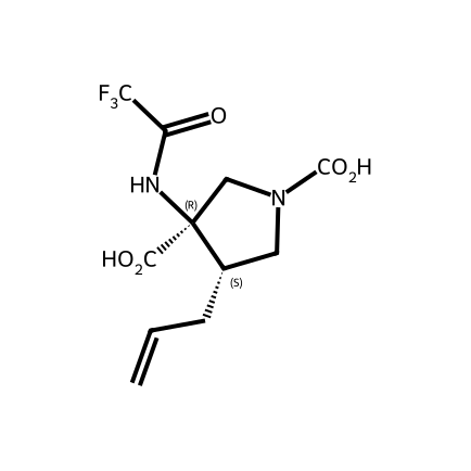 C=CC[C@H]1CN(C(=O)O)C[C@@]1(NC(=O)C(F)(F)F)C(=O)O